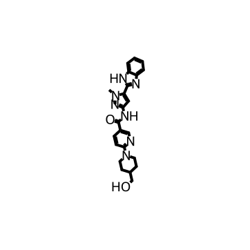 Cn1nc(NC(=O)c2ccc(N3CCC(CO)CC3)nc2)cc1-c1nc2ccccc2[nH]1